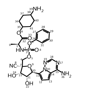 C[C@H](NP(=O)(OC[C@@]1(C#N)O[C@@H](c2ccc3c(N)ncnn23)[C@H](O)[C@@H]1O)Oc1ccccc1)C(=O)OC1CCC(N)CC1